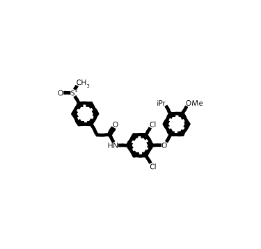 COc1ccc(Oc2c(Cl)cc(NC(=O)Cc3ccc([S+](C)[O-])cc3)cc2Cl)cc1C(C)C